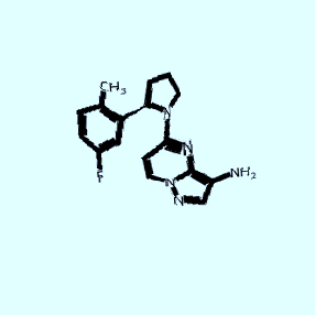 Cc1ccc(F)cc1[C@H]1CCCN1c1ccn2ncc(N)c2n1